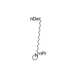 CCCCCCCCCCCCCCCCCCCCCCCCC(CCC)N1CCCCC1